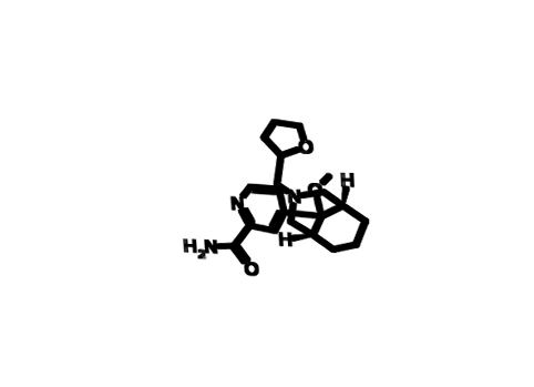 COC1(c2ccnc(C(N)=O)c2)[C@@H]2CCC[C@H]1CN(CC1CCCO1)C2